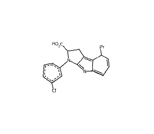 CC(C)C1C=CC=C2N=C3C(=C21)CC(C(=O)O)N3c1cccc(Cl)c1